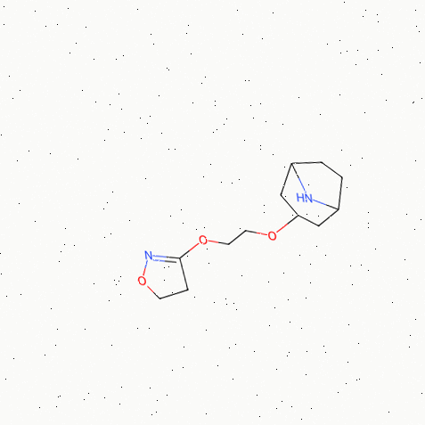 C1CC(OCCOC2CC3CCC(C2)N3)=NO1